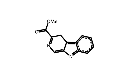 COC(=O)C1=NC=C2N=c3ccccc3=C2C1